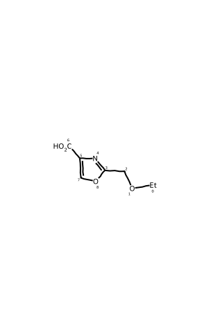 CCOCc1nc(C(=O)O)co1